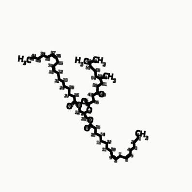 CCCCC/C=C\C/C=C\CCCCCCCC(=O)OCC(COC(=O)CCCCCCC/C=C\C/C=C\CCCCC)OC(=O)CCC(=O)CCC(C)CCCC(C)C